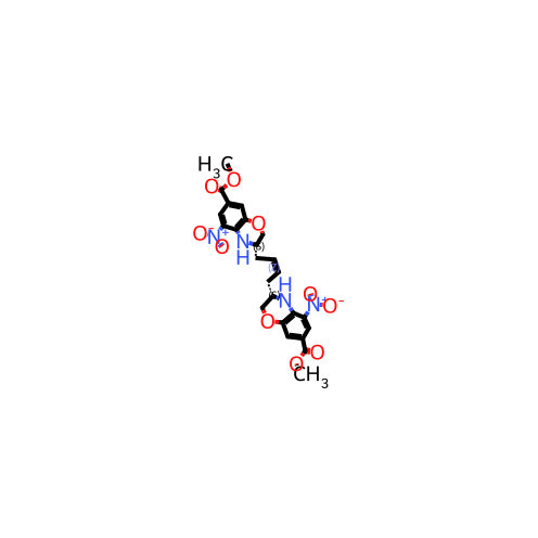 COC(=O)c1cc2c(c([N+](=O)[O-])c1)N[C@@H](C/C=C\C[C@H]1COc3cc(C(=O)OC)cc([N+](=O)[O-])c3N1)CO2